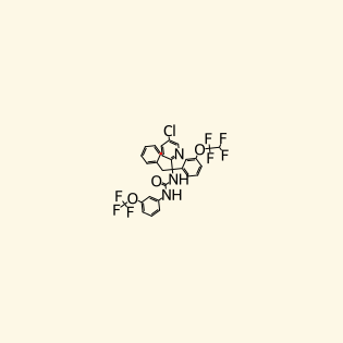 O=C(Nc1cccc(OC(F)(F)F)c1)NC(Cc1ccccc1)(c1cccc(OC(F)(F)C(F)F)c1)c1ccc(Cl)cn1